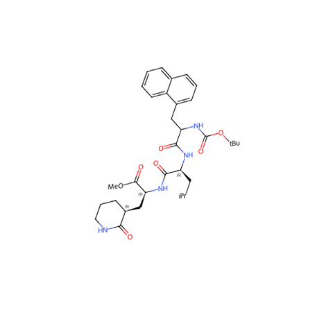 COC(=O)[C@H](C[C@@H]1CCCNC1=O)NC(=O)[C@H](CC(C)C)NC(=O)C(Cc1cccc2ccccc12)NC(=O)OC(C)(C)C